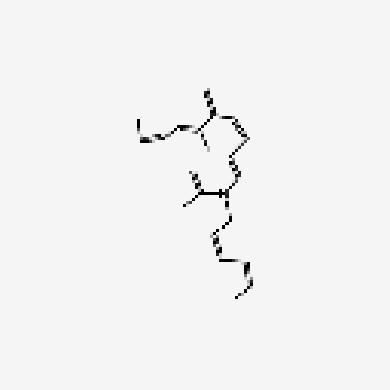 C=C(/C=C\C=C\N(C/C=C\C=C/C)C(=C)C)/C(C)=C/C=C\C